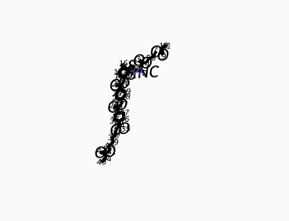 [C-]#[N+]/C(C(=O)OCCOC(=O)C=C)=C1/Sc2c(C)ccc(OC(=O)C3CCC(OC(=O)C4CCC(C(=O)OCCCCOC(=O)C=C)CC4)CC3)c2S1